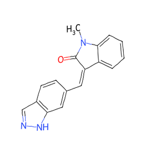 CN1C(=O)C(=Cc2ccc3cn[nH]c3c2)c2ccccc21